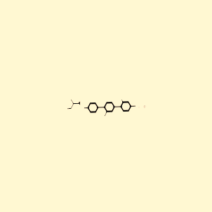 CCCCCc1ccc(-c2ccc(-c3ccc(OC(=O)C(C)CO)cc3)c(C)c2)c(CC)c1